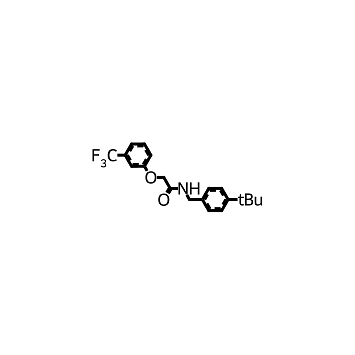 CC(C)(C)c1ccc(CNC(=O)COc2cccc(C(F)(F)F)c2)cc1